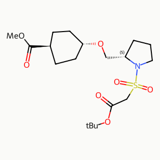 COC(=O)[C@H]1CC[C@H](OC[C@@H]2CCCN2S(=O)(=O)CC(=O)OC(C)(C)C)CC1